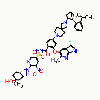 Cc1nc2[nH]cc(F)c2cc1Oc1cc(N2CCC3(CC2)CN([C@H]2CCC[C@H]2c2ccccc2C(C)C)C3)ccc1C(=O)NS(=O)(=O)c1cnc(NC[C@H]2CC[C@](C)(O)CC2)c([N+](=O)[O-])c1